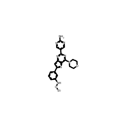 C[CH]ONc1cccc(-c2cc3nc(-c4cnc(N)nc4)nc(N4CCOCC4)c3s2)c1